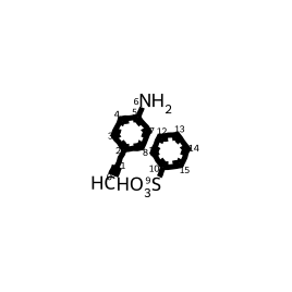 C#Cc1ccc(N)cc1.O=S(=O)(O)c1ccccc1